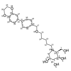 OC[C@H]1[C@@H](O)[C@H](O)[C@@H](O)CN1CCCCCOCc1ccc(-c2ccc3c(c2)OCCO3)cc1